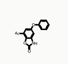 CC(=O)c1cc(Oc2ccccc2)cc2[nH]c(=O)oc12